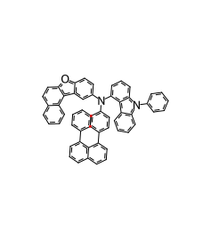 c1ccc(-c2cccc3cccc(-c4ccc(N(c5ccc6oc7ccc8ccccc8c7c6c5)c5cccc6c5c5ccccc5n6-c5ccccc5)cc4)c23)cc1